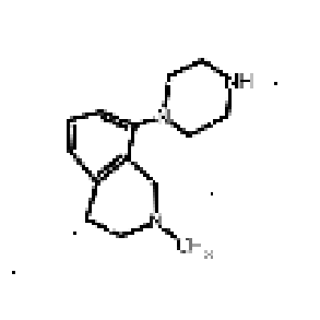 CN1CCc2cccc(N3CCNCC3)c2C1